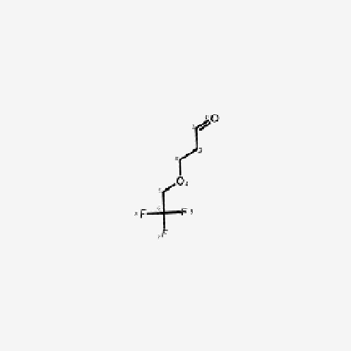 O=[C]CCOCC(F)(F)F